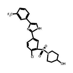 O=S(=O)(c1cc(-c2nc(-c3cccc(C(F)(F)F)c3)c[nH]2)ccc1Cl)N1CCC(O)CC1